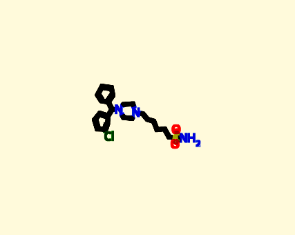 NS(=O)(=O)CCCCCCN1CCN(C(c2ccccc2)c2cccc(Cl)c2)CC1